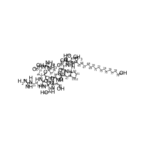 CC(=O)[C@H](CCC(=O)O)NC(=O)[C@H](CCCNC(=N)N)NC(=O)[C@H](CO)NC(=O)[C@H](CO)NC(=O)[C@H](CCCNC(=N)N)NC(=O)[C@H](Cc1ccccc1)NC(=O)[C@@H](NC(=O)[C@@H](NC(=O)CCCCCCCCCCCCCCCO)[C@@H](C)O)C(C)C